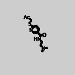 CC(=O)CSc1ccc(C(=O)NCCN(C)C)cn1